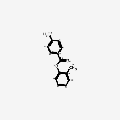 Cc1ccc(C(=O)Oc2ccccc2C)cc1